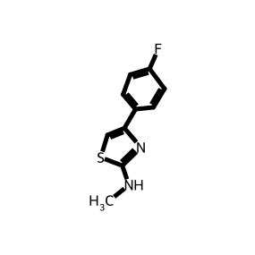 CNc1nc(-c2ccc(F)cc2)cs1